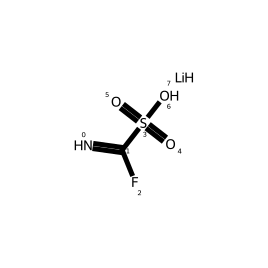 N=C(F)S(=O)(=O)O.[LiH]